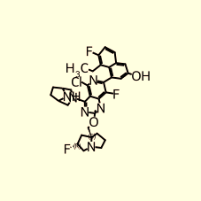 CCc1c(F)ccc2cc(O)cc(-c3nc(Cl)c4c(N5CC6CCC(C5)N6)nc(OC[C@@]56CCCN5C[C@H](F)C6)nc4c3F)c12